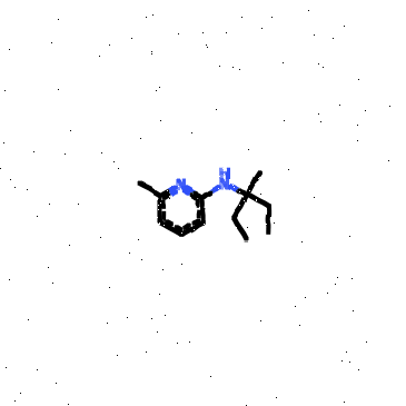 CCC(C)(CC)Nc1cccc(C)n1